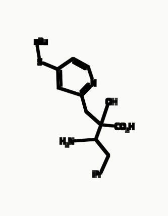 CCCCSc1ccnc(CC(O)(C(=O)O)C(N)CC(C)C)c1